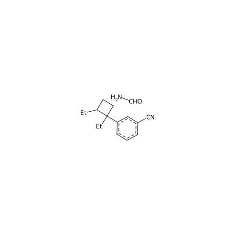 CCC1CCC1(CC)c1cccc(C#N)c1.NC=O